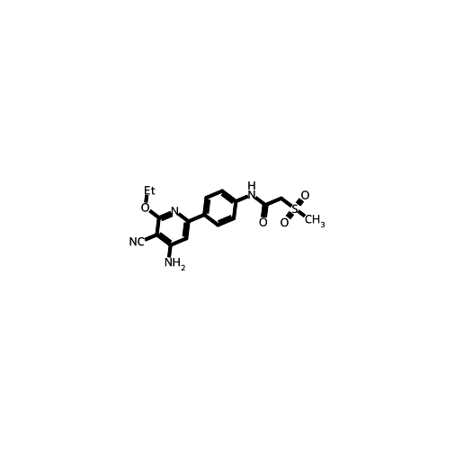 CCOc1nc(-c2ccc(NC(=O)CS(C)(=O)=O)cc2)cc(N)c1C#N